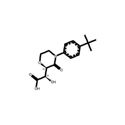 CC(C)(C)c1ccc(N2CCO[C@H]([C@@H](O)C(=O)O)C2=O)cc1